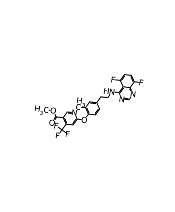 COC(=O)c1cnc(Oc2ccc(CCNc3ncnc4c(F)ccc(F)c34)cc2C)cc1C(F)(F)F